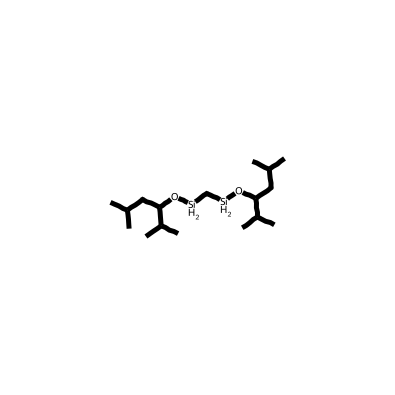 CC(C)CC(O[SiH2]C[SiH2]OC(CC(C)C)C(C)C)C(C)C